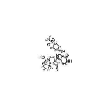 CN(C)S(=O)(=O)c1ccc(Nc2nn(C3(CC#N)CCN(C(=O)O)C(C4(C)CCCC4)C3)c3cc[nH]c(=O)c23)cc1